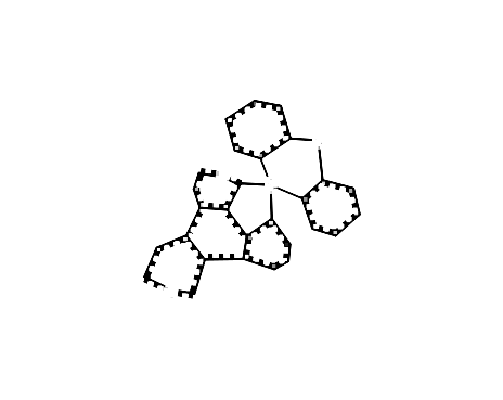 c1ccc2c(c1)Sc1ccccc1S21c2cccc3c4ccccc4c4cccc1c4c23